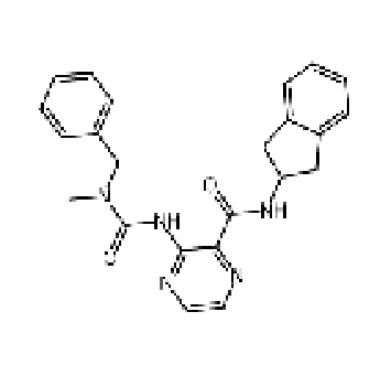 CN(Cc1ccccc1)C(=O)Nc1nccnc1C(=O)NC1Cc2ccccc2C1